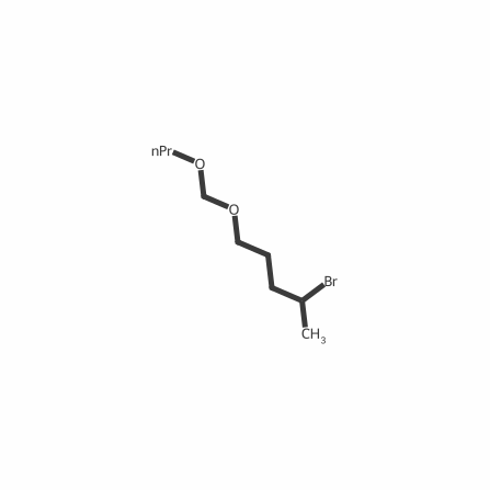 CCCOCOCCCC(C)Br